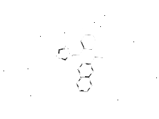 CC(c1ccc2ccccc2c1)[C@@H]1OC[C@H](C)C=C1Cn1cncn1